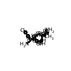 C[C@@H]1NC(=O)[C@@H](N(C)C(=O)[C@H](CCCCN)NC(=O)c2ccc(-c3ccc(Cl)cc3)cc2)c2ccc(O)c(c2)-c2cc(ccc2O)C[C@@H](C(=O)N[C@@H](C)C(=O)N2CC[C@H]2C(N)=O)NC1=O